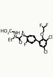 CCN(NC(=O)O)C(=O)N(C)c1ccc(-c2cc(Cl)cc(Cl)c2OCC(F)F)cc1F